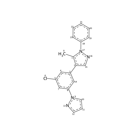 Cc1c(-c2cc(Cl)cc(-n3cccn3)c2)cnn1-c1ccccc1